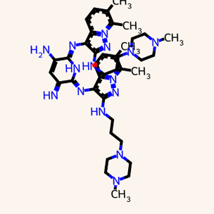 Cc1ccc2c(/N=C3\N/C(=N\c4c(NCCCN5CCN(C)CC5)nn5c(C)c(C)ccc45)C(N)=CC3=N)c(NCCCN3CCN(C)CC3)nn2c1C